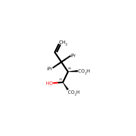 C=CC(C(C)C)(C(C)C)[C@@H](C(=O)O)[C@H](O)C(=O)O